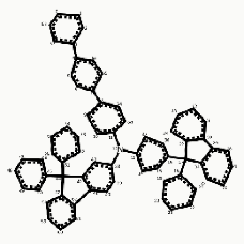 c1ccc(-c2ccc(-c3ccc(N(c4ccc(C5(c6ccccc6)c6ccccc6-c6ccccc65)cc4)c4ccc5c(c4)C(c4ccccc4)(c4ccccc4)c4ccccc4-5)cc3)cc2)cc1